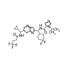 CC(C)n1cncc1C(=O)N[C@H](c1cn2ncc(C(NC(=O)CCC(F)(F)F)C3CC3)cc2n1)C1CCC(F)(F)CC1